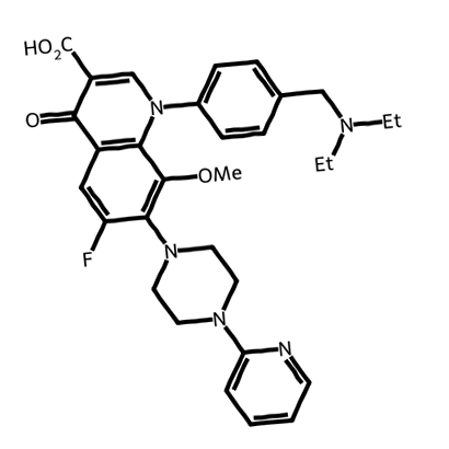 CCN(CC)Cc1ccc(-n2cc(C(=O)O)c(=O)c3cc(F)c(N4CCN(c5ccccn5)CC4)c(OC)c32)cc1